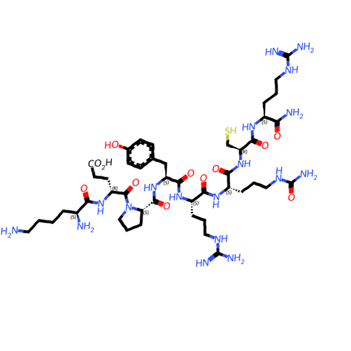 N=C(N)NCCC[C@H](NC(=O)[C@H](CS)NC(=O)[C@H](CCCNC(N)=O)NC(=O)[C@H](CCCNC(=N)N)NC(=O)[C@H](Cc1ccc(O)cc1)NC(=O)[C@@H]1CCCN1C(=O)[C@@H](CCC(=O)O)NC(=O)[C@@H](N)CCCCN)C(N)=O